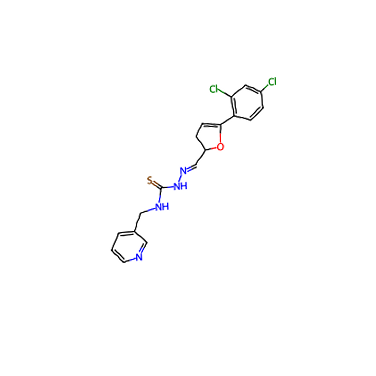 S=C(NCc1cccnc1)N/N=C/C1CC=C(c2ccc(Cl)cc2Cl)O1